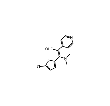 CN(C)C(=C(C=O)c1ccncc1)c1ccc(Cl)s1